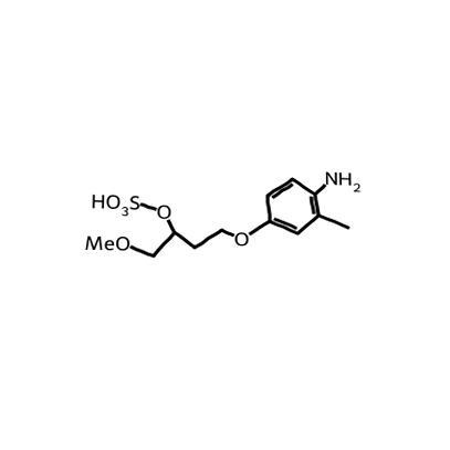 COCC(CCOc1ccc(N)c(C)c1)OS(=O)(=O)O